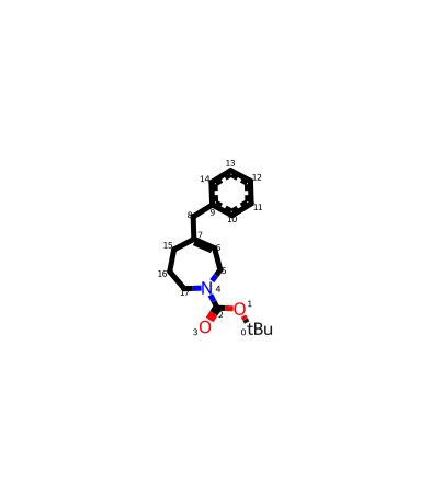 CC(C)(C)OC(=O)N1CC=C(Cc2ccccc2)CCC1